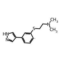 CN(C)CCSc1[c]ccc(-c2cn[nH]c2)c1